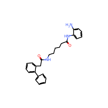 Nc1ccccc1NC(=O)CCCCCNC(=O)Cc1ccccc1-c1ccccc1